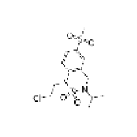 CC(C)N1Cc2cc(S(C)(=O)=O)ccc2N(CCCl)S1(=O)=O